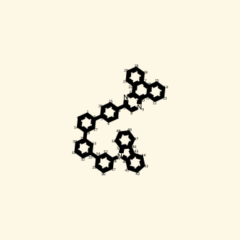 c1cc(-c2ccc(-c3cnc4c5ccccc5c5ccccc5c4n3)cc2)cc(-c2cccc(-c3cccc(-n4c5ccccc5c5ccccc54)c3)c2)c1